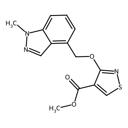 COC(=O)c1csnc1OCc1cccc2c1cnn2C